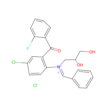 O=C(c1ccccc1F)c1cc(Cl)ccc1/[N+](=C/c1ccccc1)CC(O)CO.[Cl-]